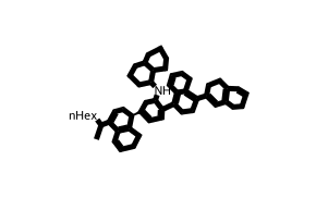 CCCCCCC(C)C1=CC[C@@H](C2=CC=C(C3=C4C=CCCC4=C(C4=CC5=C(C=CCC5)CC4)CC3)C(NC3CCCC4CCCCC43)C2)C2=C1C=CCC2